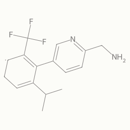 CC(C)C1=CC[CH]C(C(F)(F)F)=C1c1ccc(CN)nc1